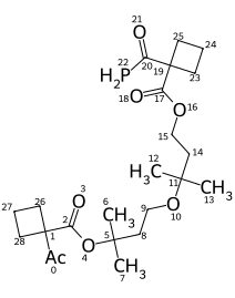 CC(=O)C1(C(=O)OC(C)(C)CCOC(C)(C)CCOC(=O)C2(C(=O)P)CCC2)CCC1